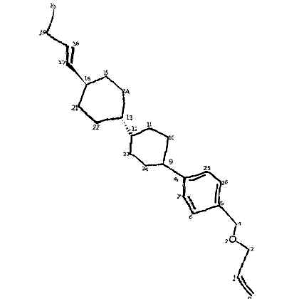 C=CCOCc1ccc(C2CCC([C@H]3CC[C@H](/C=C/CC)CC3)CC2)cc1